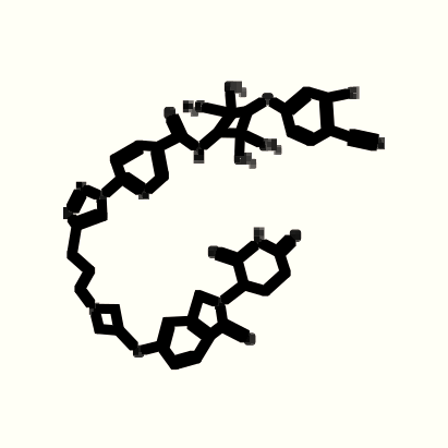 CC1(C)C(NC(=O)c2ccc(-n3cc(CCCN4CC(Oc5ccc6c(c5)CN(C5CCC(=O)NC5=O)C6=O)C4)nn3)nc2)C(C)(C)C1Oc1ccc(C#N)c(Cl)c1